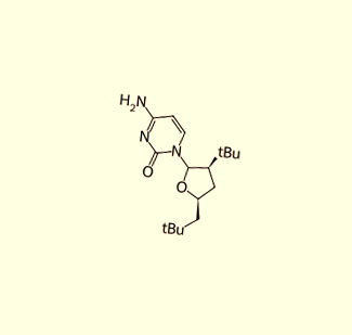 CC(C)(C)C[C@@H]1C[C@H](C(C)(C)C)C(n2ccc(N)nc2=O)O1